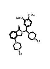 CCN1CCC(C(c2ccc(OC)c(OC)c2)N2Cc3c(cccc3N3CCN(CC)CC3)C2=O)CC1